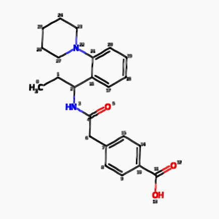 CCC(NC(=O)Cc1ccc(C(=O)O)cc1)c1ccccc1N1CCCCC1